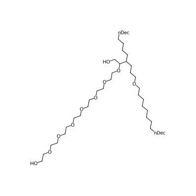 CCCCCCCCCCCCCCCCCCOCCCC(CCCCCCCCCCCCCC)C(CO)OCCOCCOCCOCCOCCOCCOCCO